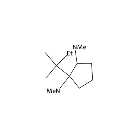 CCC(C)(C)C1(NC)CCCC1NC